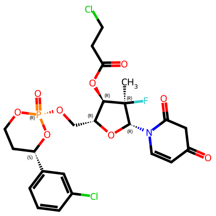 C[C@@]1(F)[C@H](OC(=O)CCCl)[C@@H](CO[P@@]2(=O)OCC[C@@H](c3cccc(Cl)c3)O2)O[C@H]1N1C=CC(=O)CC1=O